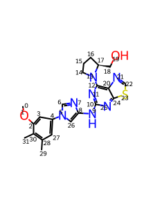 COc1cc(-n2cnc(Nc3nc(N4CCC[C@H]4CO)c4ncsc4n3)c2)cc(C)c1C